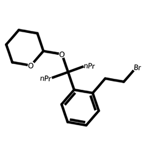 CCCC(CCC)(OC1CCCCO1)c1ccccc1CCBr